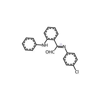 O=C/C(=N\c1ccc(Cl)cc1)c1ccccc1Nc1ccccc1